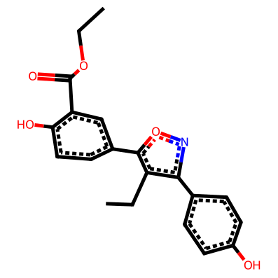 CCOC(=O)c1cc(-c2onc(-c3ccc(O)cc3)c2CC)ccc1O